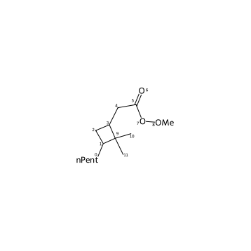 CCCCCC1CC(CC(=O)OOC)C1(C)C